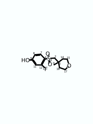 CC1(CS(=O)(=O)c2ccc(O)cc2F)CCOCC1